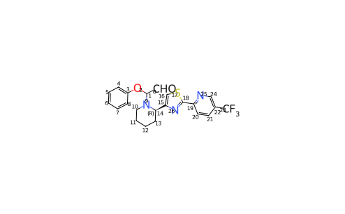 O=CC(Oc1ccccc1)N1CCCC[C@@H]1c1csc(-c2ccc(C(F)(F)F)cn2)n1